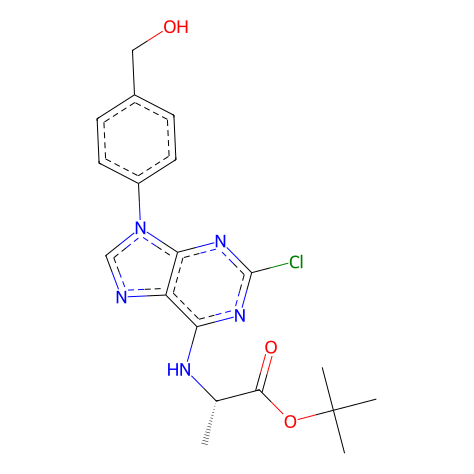 C[C@H](Nc1nc(Cl)nc2c1ncn2-c1ccc(CO)cc1)C(=O)OC(C)(C)C